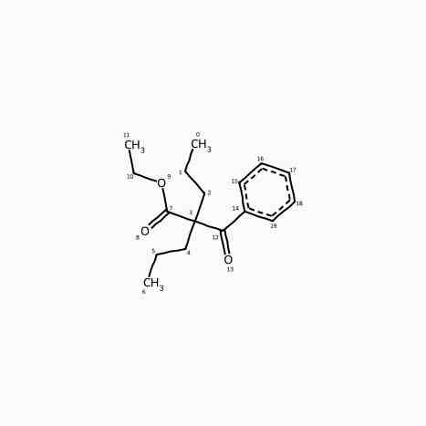 CCCC(CCC)(C(=O)OCC)C(=O)c1ccccc1